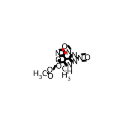 CC(=O)OCCOC(=O)C1=C(C)Nc2nc(N3CCOCC3)nc(N3CCOCC3)c2C1c1cccnc1